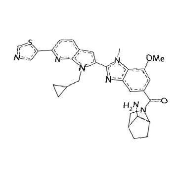 COc1cc(C(=O)N2CC3CCC2C3N)cc2nc(-c3cc4ccc(-c5cncs5)nc4n3CC3CC3)n(C)c12